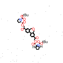 CC(C)(C)OC(=O)N1CCC[C@H]1C(=O)OCC(=O)c1ccc2c(c1)COCc1cc(C(=O)COC(=O)[C@H]3[C@H]4CC[C@H](C4)N3C(=O)OC(C)(C)C)ccc1-2